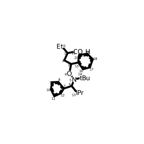 CCC(CC(ON(C(c1ccccc1)C(C)C)C(C)(C)C)c1ccccc1)C(=O)O